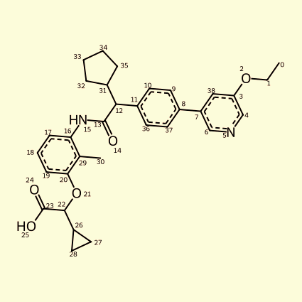 CCOc1cncc(-c2ccc(C(C(=O)Nc3cccc(OC(C(=O)O)C4CC4)c3C)C3CCCC3)cc2)c1